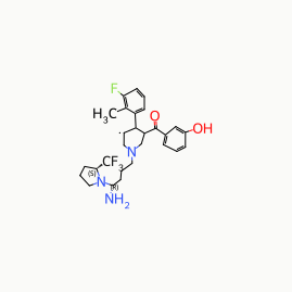 Cc1c(F)cccc1C1[CH]CN(CCC[C@H](N)N2CCC[C@H]2C(F)(F)F)CC1C(=O)c1cccc(O)c1